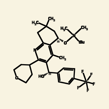 Cc1c([C@@H](O)c2ccc(S(F)(F)(F)(F)F)cc2)c(C2CCOCC2)nc2c1[C@@H](O[Si](C)(C)C(C)(C)C)CC(C)(C)C2